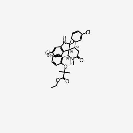 CCOC(=O)C(C)(C)Oc1ccc(Br)cc1[C@H]1NC(=O)C[C@@H](C2C=C(Cl)C=CC2)[C@]12C(=O)Nc1cc(Cl)ccc12